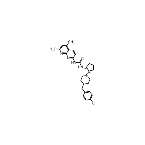 Cc1cc(C)c2ccc(NC(=O)N[C@@H]3CCC[C@H]3N3CCC(Cc4ccc(Cl)cc4)CC3)nc2n1